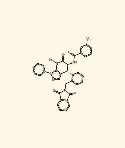 CCN1C(=O)[C@@H](NC(=O)c2cccc(C(F)(F)F)c2)[C@H](c2ccccc2CN2C(=O)c3ccccc3C2=O)c2cnn(-c3ccccc3)c21